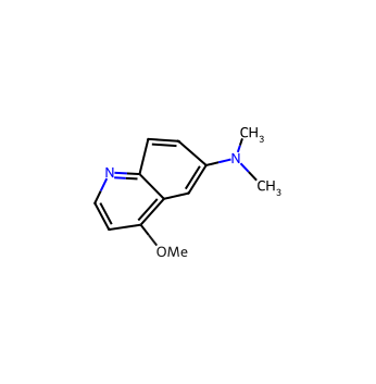 COc1ccnc2ccc(N(C)C)cc12